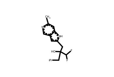 Cc1cc2[nH]c(CC(O)(CC(C)C)C(F)F)cc2cn1